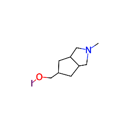 CN1CC2CC(COI)CC2C1